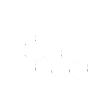 O=C(O)Oc1ncccc1Cc1ccc(C(=O)N2CCOCC2)cc1